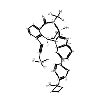 [2H]C([2H])([2H])N1C(=O)c2cccc(C#C[Si](C(C)C)(C(C)C)C(C)C)c2[C@H]2C[C@@H]1c1nc3ccc(-c4cnc(C5(O)CCC5)nc4)cc3n12